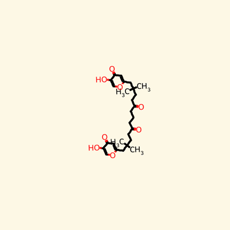 CC(C)(CCC(=O)CCCC(=O)CCC(C)(C)Cc1cc(=O)c(O)co1)Cc1cc(=O)c(O)co1